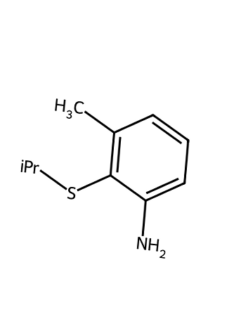 Cc1cccc(N)c1SC(C)C